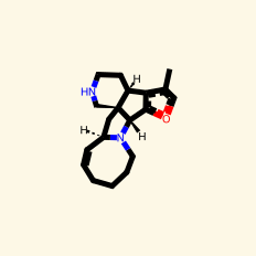 Cc1coc2c1[C@@H]1CCNC[C@@]13C[C@@H]1/C=C\CCCCN1[C@@H]23